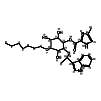 CCCCCCCOC1C(O)C(O)C(OC(=O)c2nc(C)c[nH]2)C(OC(C)c2c[nH]c3ccccc23)C1O